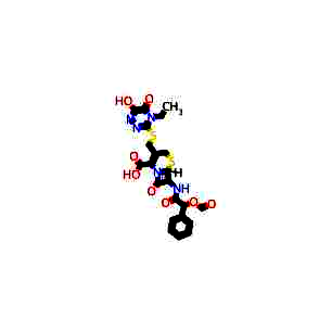 CCn1c(SCC2=C(C(=O)O)N3C(=O)C(NC(=O)C(OC=O)c4ccccc4)[C@@H]3SC2)nnc(O)c1=O